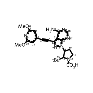 COc1cc(C#Cc2nn(C3CCN(C(=O)O)C3C(C)(C)C)c3ncnc(N)c23)cc(OC)n1